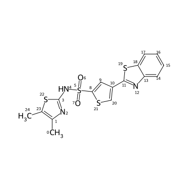 Cc1nc(NS(=O)(=O)c2cc(-c3nc4ccccc4s3)cs2)sc1C